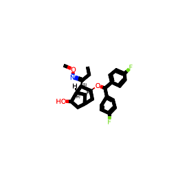 CCC(=NOC)[C@H]1[C@H](OC(c2ccc(F)cc2)c2ccc(F)cc2)CC2CC(O)[C@@H]1C2